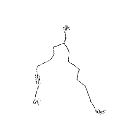 [CH2]C#CCCCC(CCC)CCCCCCCCCCCCCCC[CH2]